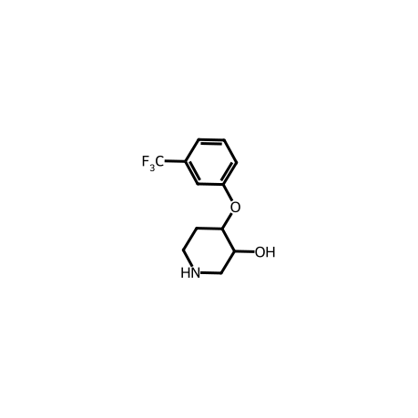 OC1CNCCC1Oc1cccc(C(F)(F)F)c1